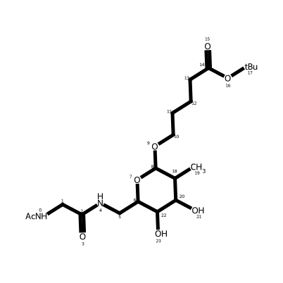 CC(=O)NCC(=O)NCC1OC(OCCCCC(=O)OC(C)(C)C)C(C)C(O)C1O